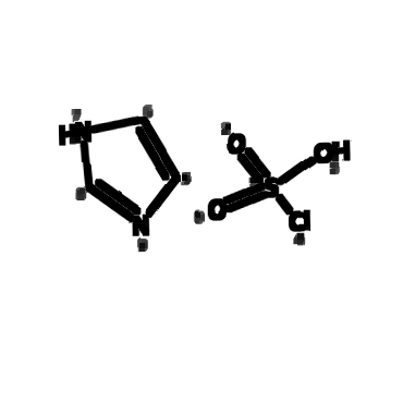 O=S(=O)(O)Cl.c1c[nH]cn1